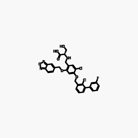 O=C(O)[C@@H](CO)NCc1cc(Cl)c(OCc2cccc(-c3cccc(F)c3)c2Cl)cc1OCc1ccc2nonc2c1